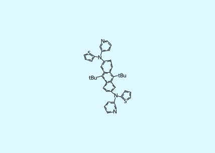 CC(C)(C)c1c2ccc(N(c3cccnc3)c3cccs3)cc2c(C(C)(C)C)c2ccc(N(c3cccnc3)c3cccs3)cc12